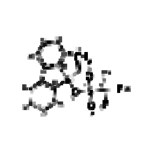 C=CS(OS(=O)(=O)C(F)(F)F)(c1ccccc1)c1ccccc1